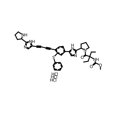 CCC(CC)(NC(=O)OC)C(=O)N1CCCC1c1ncc(-c2ccc(C#CC#Cc3cnc(C4CCCN4)[nH]3)c(Sc3ccccc3)c2)[nH]1.Cl.Cl.Cl